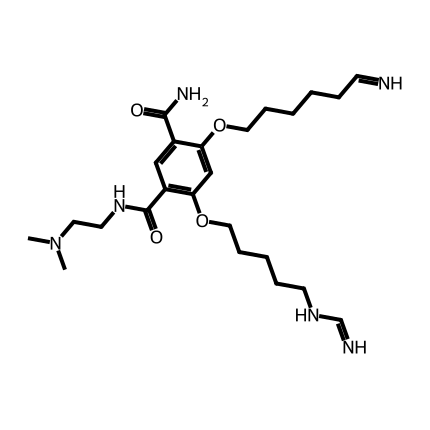 CN(C)CCNC(=O)c1cc(C(N)=O)c(OCCCCCC=N)cc1OCCCCCNC=N